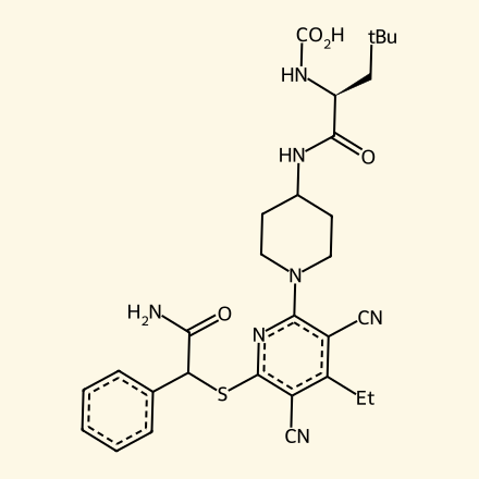 CCc1c(C#N)c(SC(C(N)=O)c2ccccc2)nc(N2CCC(NC(=O)[C@H](CC(C)(C)C)NC(=O)O)CC2)c1C#N